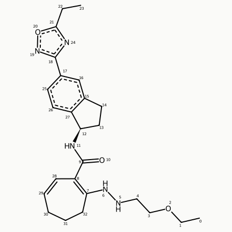 CCOCCNNC1=C(C(=O)N[C@@H]2CCc3cc(-c4noc(CC)n4)ccc32)C=CCCC1